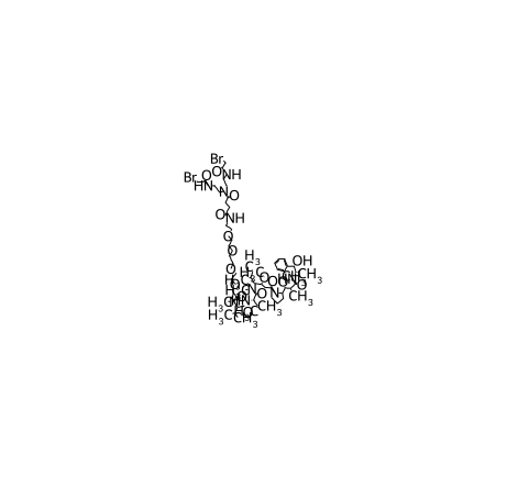 CCC(C)C(C(CC(=O)N1CCCC1C(OC)C(C)C(=O)N[C@@H](C)[C@H](O)c1ccccc1)OC)N(C)C(=O)[C@@H](NC(=O)C(C(C)C)N(C)C(=O)COCCOCCOCCOCCNC(=O)CCC(=O)N(CCNC(=O)CBr)CCNC(=O)CBr)C(C)C